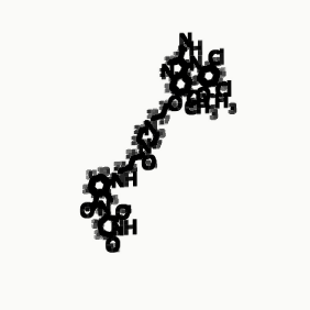 COc1cc(Nc2c(C#N)cnc3cc(OCCCN4CCN(C(=O)CCCNc5cccc6c5CN(C5CCC(=O)NC5=O)C6=O)CC4)c(OC)cc23)c(Cl)cc1Cl